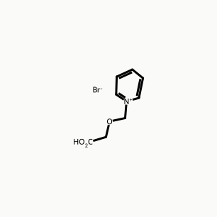 O=C(O)COC[n+]1ccccc1.[Br-]